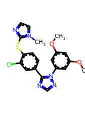 COc1cc(OC)cc(-n2ncnc2-c2ccc(Sc3nccn3C)c(Cl)c2)c1